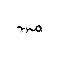 C=CC(=O)OC(=O)/C=C/c1cccnc1